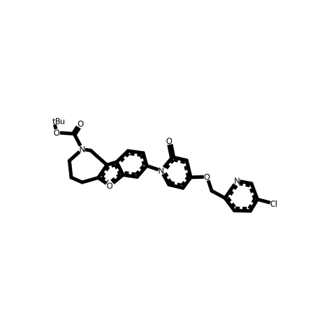 CC(C)(C)OC(=O)N1CCCc2oc3cc(-n4ccc(OCc5ccc(Cl)cn5)cc4=O)ccc3c2C1